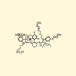 CC1(C)C(/C=C/C2=C(c3c(F)cc(F)c(CCCCC(=O)O)c3F)C(=C/C=C3/N(CCCCS(=O)(=O)O)c4ccc(S(=O)(=O)O)cc4C3(C)C)/CCC2)=[N+](CCCCSOOO)c2ccc(SOOO)cc21